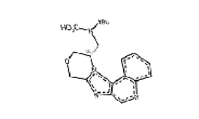 CC(C)(C)N(C[C@H]1COCc2nc3cnc4ccccc4c3n21)C(=O)O